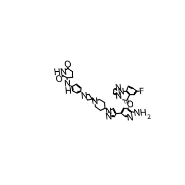 C[C@H](Oc1cc(-c2cnn(C3CCN(C4CN(c5ccc(NC6CCC(=O)NC6=O)cc5)C4)CC3)c2)cnc1N)c1cc(F)ccc1-n1nccn1